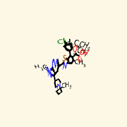 Cc1cc2nc(-c3cnc4c(c3)c(C3CCN(C5(C)CCC5)CC3)nn4C)sc2c(-c2ccc(Cl)cc2)c1[C@H](OC(C)(C)C)C(=O)O